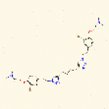 CN(C)CCOc1ccc(CCn2cc(CCCCc3cn(CCc4ccc(OCCN(C)C)c(Br)c4)nn3)nn2)cc1Br